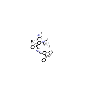 C=C/C=C\C(Sc1cc(/C(N)=C/C=C)ccc1C(CC)c1ccccc1SC(C)/C=C\C=C\c1ccc(-c2ccccc2)c(Nc2ccccc2)c1)=C(C)C